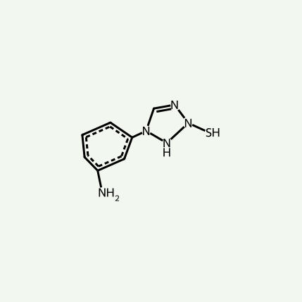 Nc1cccc(N2C=NN(S)N2)c1